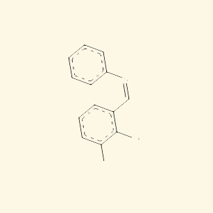 CC(C)(C)c1cccc(/C=N\c2ccccc2)c1O